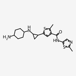 Cc1ncc(NC(=O)c2cc(C3CC3NC3CCC(N)CC3)sc2C)s1